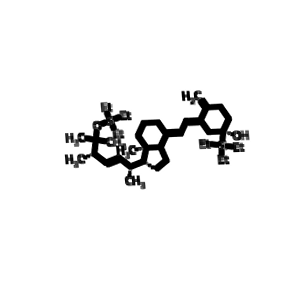 C=C1CC[C@@](O)([Si](CC)(CC)CC)CC1=CC=C1CCC[C@@]2(C)C1CC[C@@H]2[C@H](C)/C=C/[C@H](C)C(C)(C)O[Si](CC)(CC)CC